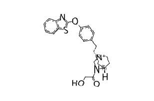 O=C(CO)N1C[N@@+]2(CCc3ccc(Oc4nc5ccccc5s4)cc3)CC[C@H]1C2